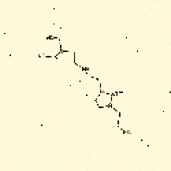 N#CCN(CC#N)CCNCCN1CCN(CCN)C1=O